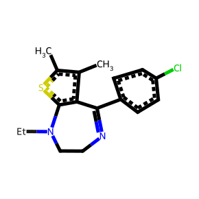 CCN1CCN=C(c2ccc(Cl)cc2)c2c1sc(C)c2C